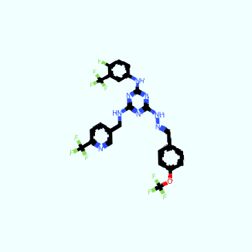 Fc1ccc(Nc2nc(NCc3ccc(C(F)(F)F)nc3)nc(N/N=C/c3ccc(OC(F)(F)F)cc3)n2)cc1C(F)(F)F